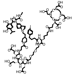 CCNC(=O)c1nnc(-c2cc(C(C)C)c(O)cc2O)n1-c1ccc2c(ccn2CCC2CCN(C(=O)CCNC(=O)[C@@H](CCC(=O)O)NC(=O)[C@@H](CCC(=O)O)NC(=O)[C@@H](CCC(=O)O)NC(=O)COCCOCCNC(=O)[C@H](CCCCNC(=O)CC[C@H](C(=O)O)N3CCN(CC(=O)O)CCN(CC(=O)O)CCN(CC(=O)O)CC3)NC(=O)CCCc3ccc(I)cc3)CC2)c1